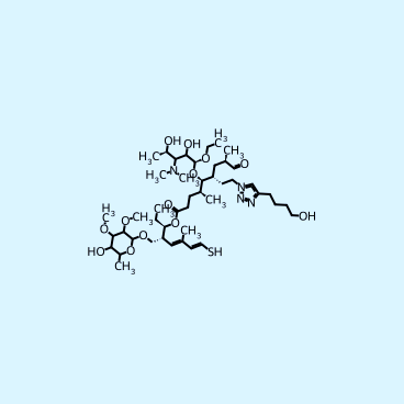 CCO[C@@H](O[C@@H]([C@@H](CCn1cc(CCCCO)nn1)C[C@@H](C)C=O)[C@@H](C)CCC(=O)O[C@H](CC)[C@H](/C=C(C)/C=C/S)COC1OC(C)C(O)C(OC)C1OC)C(O)C([C@@H](C)O)N(C)C